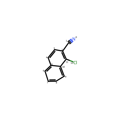 N#Cc1ccc2ccccc2c1Cl